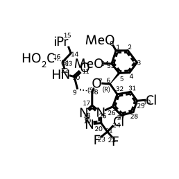 COc1cccc([C@@H]2O[C@@H](CC(=O)N[C@@H](CC(C)C)C(=O)O)c3nnc(C(F)(F)Cl)n3-c3ccc(Cl)cc32)c1OC